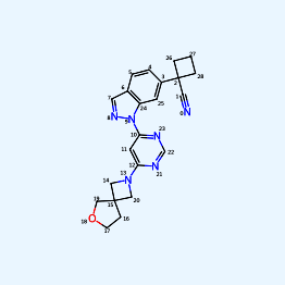 N#CC1(c2ccc3cnn(-c4cc(N5CC6(CCOC6)C5)ncn4)c3c2)CCC1